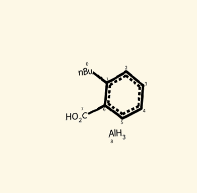 CCCCc1ccccc1C(=O)O.[AlH3]